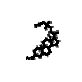 CC(=O)O[C@H]1CC[C@@]2(C)C(=CCC3C2CC[C@@]2(C)C3CC[C@@H]2[C@H](C)CCC(C)(C)N=[N+]=[N-])C1